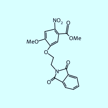 COC(=O)c1cc(OCCN2C(=O)c3ccccc3C2=O)c(OC)cc1[N+](=O)[O-]